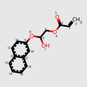 C=CC(=O)OCC(O)Oc1ccc2ccccc2c1